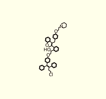 OC(COc1ccc(C(=C(CCCl)c2ccccc2)c2ccccc2)cc1)c1ccccc1C1=C(Cc2ccc(OCCN3CCCCC3)cc2)c2ccccc2OC1